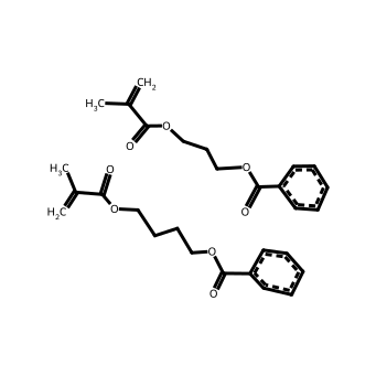 C=C(C)C(=O)OCCCCOC(=O)c1ccccc1.C=C(C)C(=O)OCCCOC(=O)c1ccccc1